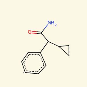 NC(=O)C(c1cc[c]cc1)C1CC1